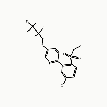 CCS(=O)(=O)c1ccc(Cl)nc1-c1ccc(OCC(F)(F)C(F)(F)F)cn1